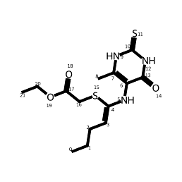 CCC/C=C(/Nc1c(C)[nH]c(=S)[nH]c1=O)SCC(=O)OCC